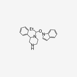 CCC(On1ccc2ccccc21)N1CCNCC1c1ccccc1